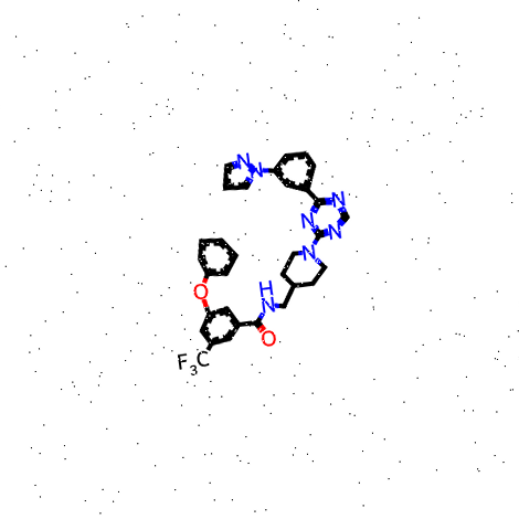 O=C(NCC1CCN(c2ncnc(-c3cccc(-n4cccn4)c3)n2)CC1)c1cc(Oc2ccccc2)cc(C(F)(F)F)c1